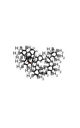 Bc1c(B)c(B)c(-c2nc(-c3ccc(-n4c5ccccc5c5c(-c6c(B)c(B)c(B)c(B)c6B)cccc54)c(-c4nc(-c5c(B)c(B)c(B)c(B)c5B)nc(-c5c(B)c(B)c(B)c(B)c5B)n4)c3)nc(-c3c(B)c(B)c(B)c(B)c3B)n2)c(B)c1B